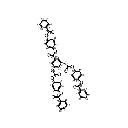 O=C(Oc1ccc(OC(=O)c2ccccc2)cc1)Oc1cc(OC(=O)Oc2ccc(OC(=O)c3ccccc3)cc2)cc(C(=O)Oc2ccc(OC(=O)c3ccccc3)cc2)c1